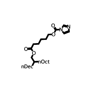 CCCCCCCCCCC(CCCCCCCC)COC(=O)CCCCCOC(=O)n1ccnc1